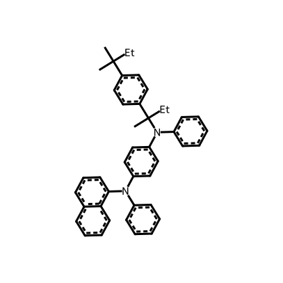 CCC(C)(C)c1ccc(C(C)(CC)N(c2ccccc2)c2ccc(N(c3ccccc3)c3cccc4ccccc34)cc2)cc1